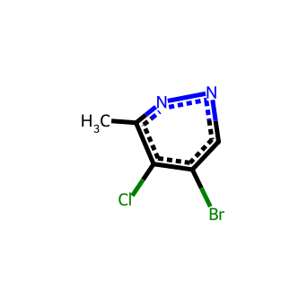 Cc1nncc(Br)c1Cl